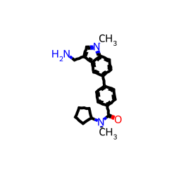 CN(C(=O)c1ccc(-c2ccc3c(c2)c(CN)cn3C)cc1)C1CCCC1